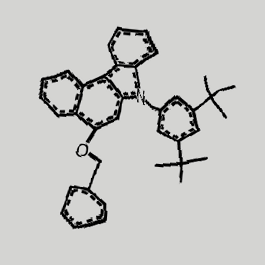 CC(C)(C)c1cc(-n2c3ccccc3c3c4ccccc4c(OCc4ccccc4)cc32)cc(C(C)(C)C)c1